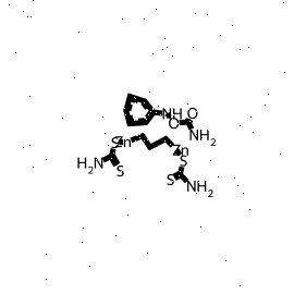 NC(=O)ONc1ccccc1.NC(=S)[S][Zn][CH2]C[CH2][Zn][S]C(N)=S